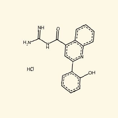 Cl.N=C(N)NC(=O)c1cc(-c2ccccc2O)nc2ccccc12